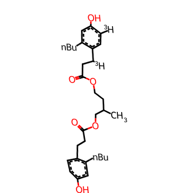 [3H]c1cc(C([3H])CC(=O)OCCC(C)COC(=O)CCc2ccc(O)cc2CCCC)c(CCCC)cc1O